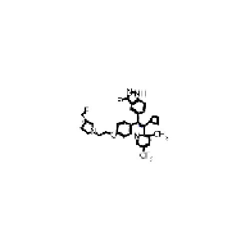 Cc1cc(C(F)(F)F)cnc1/C(=C(\c1ccc(OCCN2CC[C@@H](CF)C2)cc1)c1ccc2[nH]nc(F)c2c1)C1CCC1